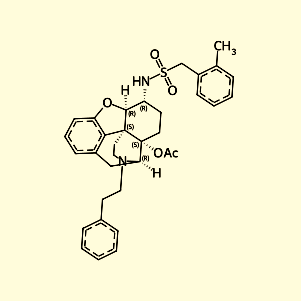 CC(=O)O[C@@]12CC[C@@H](NS(=O)(=O)Cc3ccccc3C)[C@@H]3Oc4cccc5c4[C@@]31CCN(CCc1ccccc1)[C@@H]2C5